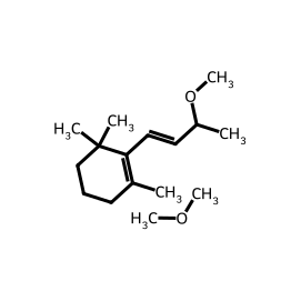 COC.COC(C)C=CC1=C(C)CCCC1(C)C